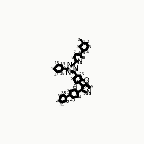 Cc1cccc(-c2ccc(-c3nc(-c4ccccc4)nc(-c4ccc5c(c4)oc4cncc(-c6ccc(-c7ccccc7)cc6)c45)n3)nc2)c1